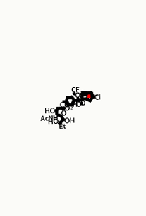 CCC(O)C(O)C1OC(Oc2cc(C3(OCC(F)(F)F)OOC34C3CC5CC4CC(Cl)(C5)C3)ccc2C)(C(=O)O)CC(O)C1NC(C)=O